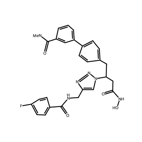 CNC(=O)c1cccc(-c2ccc(CC(CC(=O)NO)n3cc(CNC(=O)c4ccc(F)cc4)nn3)cc2)c1